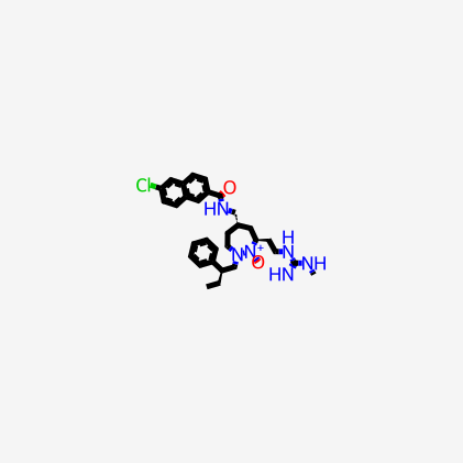 CC[C@H](CN1CC[C@H](CNC(=O)c2ccc3cc(Cl)ccc3c2)C[C@@H](CCNC(=N)NC)[N+]1=O)c1ccccc1